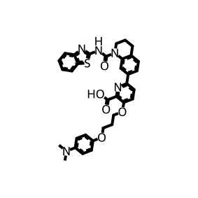 CN(C)c1ccc(OCCCOc2ccc(-c3ccc4c(c3)N(C(=O)Nc3nc5ccccc5s3)CCC4)nc2C(=O)O)cc1